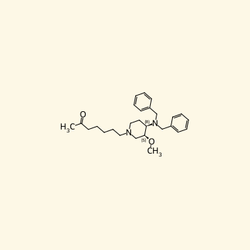 CO[C@H]1CN(CCCCCC(C)=O)CC[C@H]1N(Cc1ccccc1)Cc1ccccc1